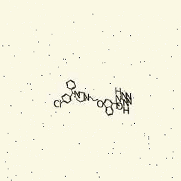 O=C(Nc1nnn[nH]1)c1ccc(OCCCN2CCCN(C(c3ccccc3)c3ccc(Cl)cc3)CC2)c2ccccc12